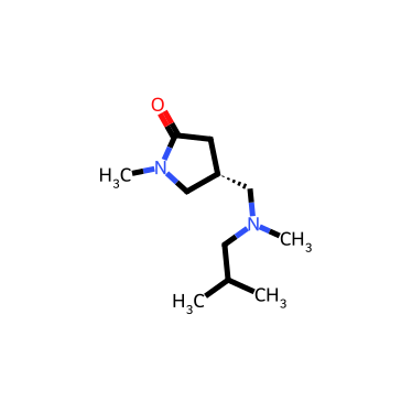 CC(C)CN(C)C[C@H]1CC(=O)N(C)C1